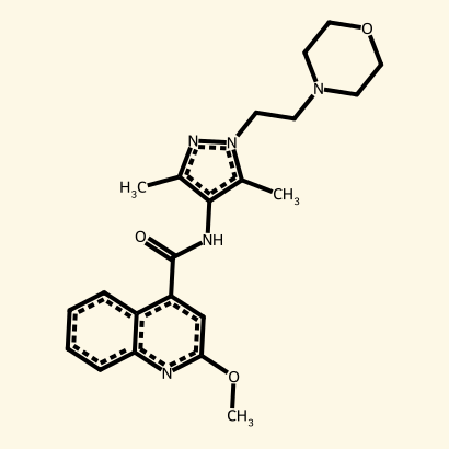 COc1cc(C(=O)Nc2c(C)nn(CCN3CCOCC3)c2C)c2ccccc2n1